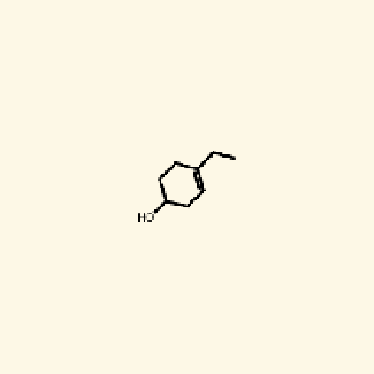 CCC1=CCC(O)CC1